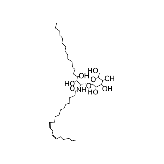 CCCCC/C=C\C/C=C\CCCCCCCCCC(=O)N[C@@H](CO[C@H]1OC(CO)[C@H](O)C(O)[C@@H]1O)[C@H](O)[C@H](O)CCCCCCCCCCCCCC